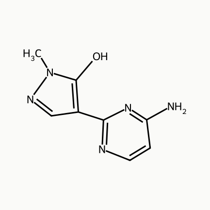 Cn1ncc(-c2nccc(N)n2)c1O